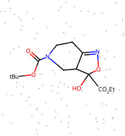 CCOC(=O)C1(O)ON=C2CCN(C(=O)OC(C)(C)C)CC21